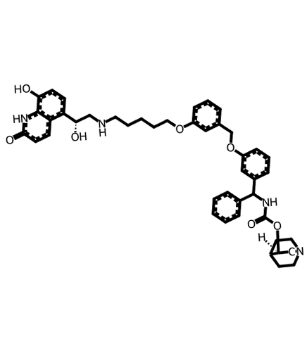 O=C(NC(c1ccccc1)c1cccc(OCc2cccc(OCCCCCNC[C@H](O)c3ccc(O)c4[nH]c(=O)ccc34)c2)c1)O[C@H]1CN2CCC1CC2